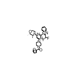 C[C@@H]1OCCN(c2cc(N3CCN(C(=O)c4ccco4)CC3)nc(-n3c(C(F)F)nc4ccccc43)n2)[C@H]1C